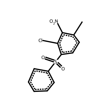 Cc1ccc(S(=O)(=O)c2ccccc2)c(Cl)c1[N+](=O)[O-]